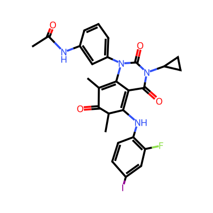 CC(=O)Nc1cccc(-n2c3c(c(=O)n(C4CC4)c2=O)=C(Nc2ccc(I)cc2F)C(C)C(=O)C=3C)c1